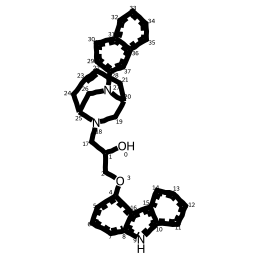 OC(COc1cccc2[nH]c3ccccc3c12)CN1CC2CC=CCC1CN2c1ccc2ccccc2c1